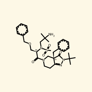 CC(C)(N)CN([C@H](COCc1ccccc1)C(=O)N1CCC2=NN(C(C)(C)C)C(=O)[C@@]2(Cc2ccccc2)C1)S(C)(=O)=O